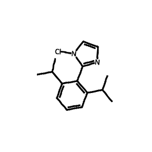 CC(C)c1cccc(C(C)C)c1-c1nccn1Cl